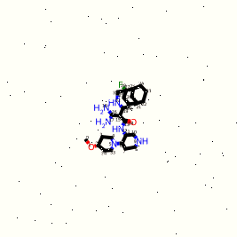 COC1CCN(C2CCNCC2NC(=O)C(C(N)N)C2CC34CCCC(C3)C(F)(CC4)CN2)CC1